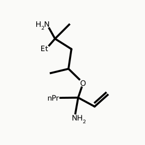 C=CC(N)(CCC)OC(C)CC(C)(N)CC